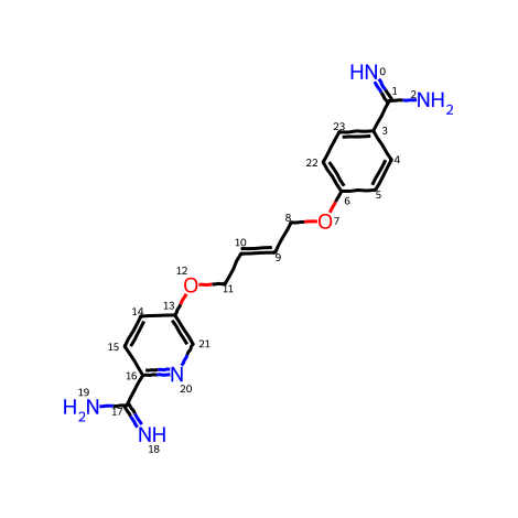 N=C(N)c1ccc(OC/C=C/COc2ccc(C(=N)N)nc2)cc1